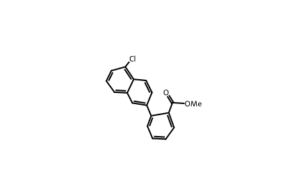 COC(=O)c1ccccc1-c1ccc2c(Cl)cccc2c1